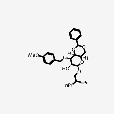 CCCC(CCC)CO[C@@H]1O[C@@H]2COC(c3ccccc3)O[C@@H]2[C@H](OCc2ccc(OC)cc2)[C@H]1O